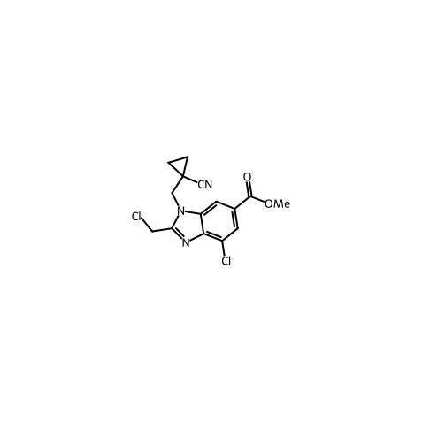 COC(=O)c1cc(Cl)c2nc(CCl)n(CC3(C#N)CC3)c2c1